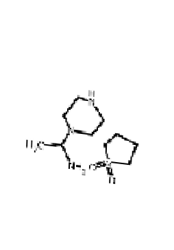 CC(N)N1CCNCC1.O=S1(=O)CCCC1